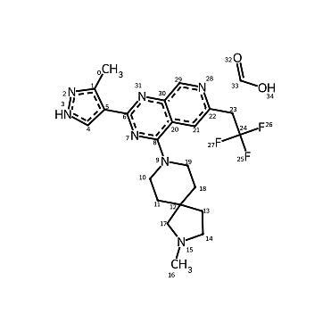 Cc1n[nH]cc1-c1nc(N2CCC3(CCN(C)C3)CC2)c2cc(CC(F)(F)F)ncc2n1.O=CO